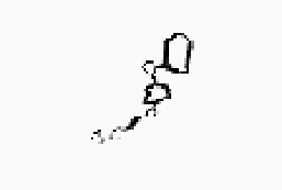 CC=COc1ccc(Oc2ccccc2)cc1